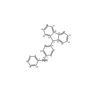 c1ccc(Nc2ccc(C3c4ccccc4-c4ccccc43)cc2)cc1